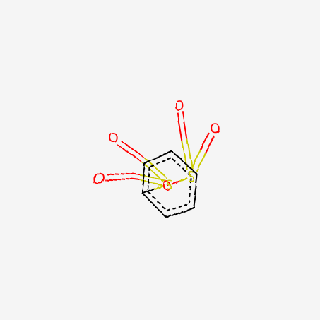 O=S1(=O)OS(=O)(=O)c2ccc1cc2